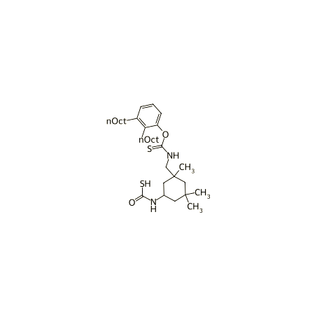 CCCCCCCCc1cccc(OC(=S)NCC2(C)CC(NC(=O)S)CC(C)(C)C2)c1CCCCCCCC